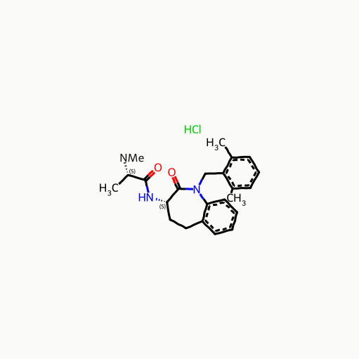 CN[C@@H](C)C(=O)N[C@H]1CCc2ccccc2N(Cc2c(C)cccc2C)C1=O.Cl